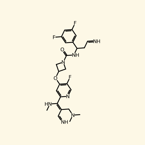 CN/C(=C(\C=N)CN(C)C)c1cc(OC2CN(C(=O)NC(CC=N)c3cc(F)cc(F)c3)C2)c(F)cn1